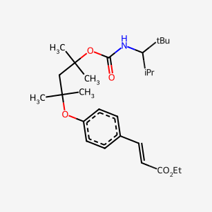 CCOC(=O)/C=C/c1ccc(OC(C)(C)CC(C)(C)OC(=O)NC(C(C)C)C(C)(C)C)cc1